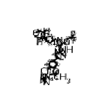 C[C@@H](Cn1cnnn1)Oc1cc(-c2cnc(Nc3cn([C@H]4CC[C@H](N5[C@@H]6CC[C@H]5COC6)CC4)nc3OCC(F)F)nc2)ccc1Cl